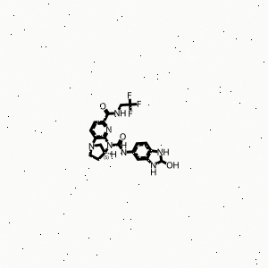 O=C(NCC(F)(F)F)c1ccc2c(n1)N(C(=O)Nc1ccc3c(c1)NC(O)N3)[C@H]1CCN2C1